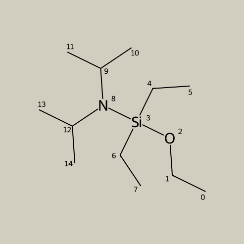 CCO[Si](CC)(CC)N(C(C)C)C(C)C